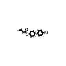 C=CCC(=O)O[C@H]1CC[C@H](c2ccc(CC)cc2)CC1